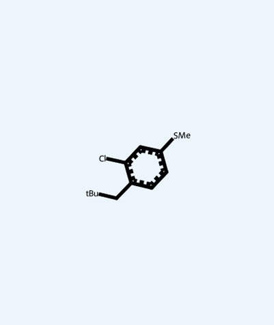 CSc1ccc(CC(C)(C)C)c(Cl)c1